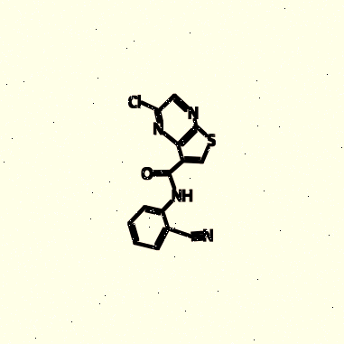 N#Cc1ccccc1NC(=O)c1csc2ncc(Cl)nc12